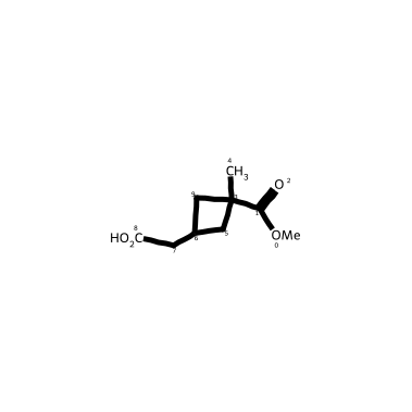 COC(=O)C1(C)CC(CC(=O)O)C1